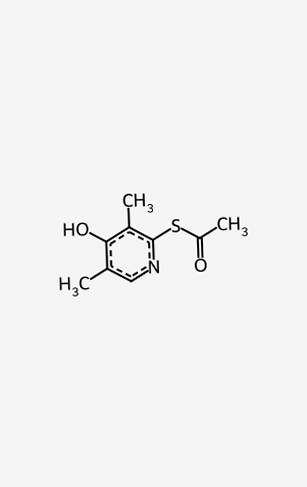 CC(=O)Sc1ncc(C)c(O)c1C